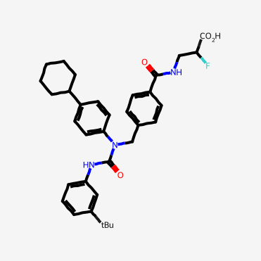 CC(C)(C)c1cccc(NC(=O)N(Cc2ccc(C(=O)NCC(F)C(=O)O)cc2)c2ccc(C3CCCCC3)cc2)c1